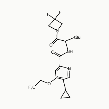 CC(C)(C)C(NC(=O)c1cc(OCC(F)(F)F)c(C2CC2)cn1)C(=O)N1CC(F)(F)C1